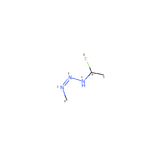 C/N=N\NC(C)F